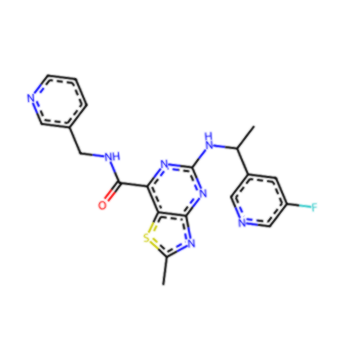 Cc1nc2nc(NC(C)c3cncc(F)c3)nc(C(=O)NCc3cccnc3)c2s1